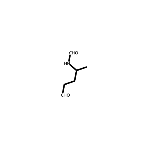 CC(CCC=O)NC=O